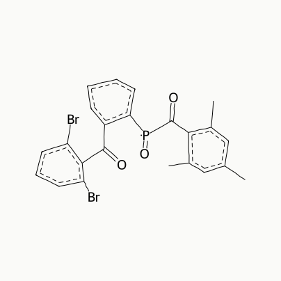 Cc1cc(C)c(C(=O)[P](=O)c2ccccc2C(=O)c2c(Br)cccc2Br)c(C)c1